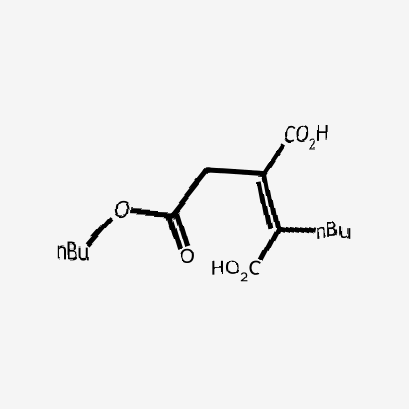 CCCCOC(=O)CC(C(=O)O)=C(CCCC)C(=O)O